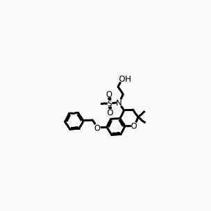 CC1(C)CC(N(CCO)S(C)(=O)=O)c2cc(OCc3ccccc3)ccc2O1